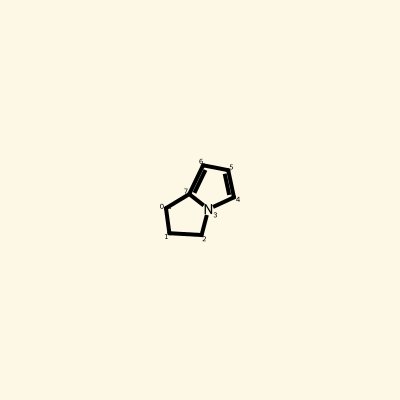 [CH]1CCn2cccc21